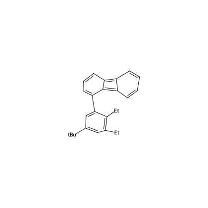 CCc1cc(C(C)(C)C)cc(-c2cccc3c2=c2ccccc2=3)c1CC